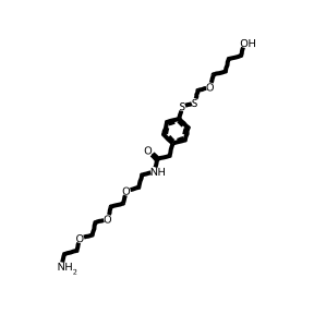 NCCOCCOCCOCCNC(=O)Cc1ccc(SSCOCCCCO)cc1